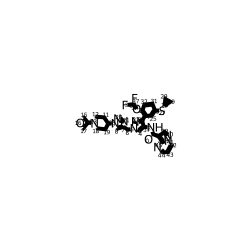 O=C(Nc1cn(Cc2cn(C3CCN(C4COC4)CC3)nn2)nc1-c1cc(SC2CC2)ccc1OC(F)F)c1cnn2cccnc12